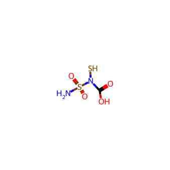 NS(=O)(=O)N(S)C(=O)O